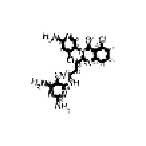 Cc1cc(N)ncc1-n1c(CCCNc2nc(N)nc(N)c2C#N)nc2cccc(Cl)c2c1=O